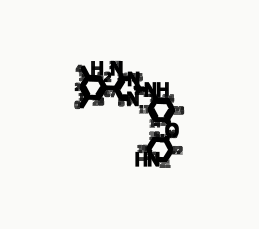 Cc1cc(C)cc(-c2cnc(Nc3ccc(OC4CCNCC4)cc3)nc2N)c1